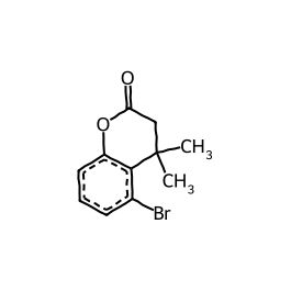 CC1(C)CC(=O)Oc2cccc(Br)c21